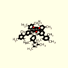 Cc1cc(C)c(-c2ccc3c4ccc(-c5c(C)cc(C)cc5C)cc4n(-c4cc(C#N)c(-c5nc(C)nc(C)n5)cc4-n4c5cc(-c6c(C)cc(C)cc6C)ccc5c5ccc(-c6c(C)cc(C)cc6C)cc54)c3c2)c(C)c1